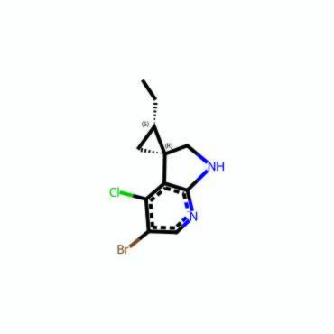 CC[C@H]1C[C@@]12CNc1ncc(Br)c(Cl)c12